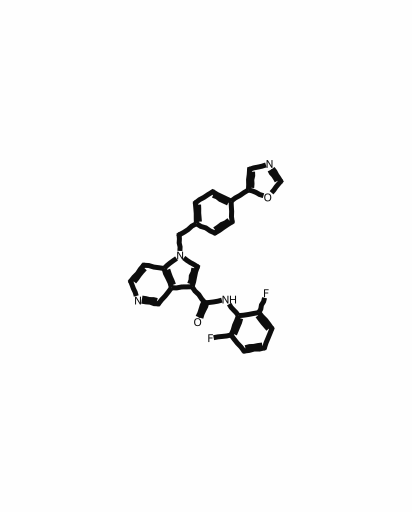 O=C(Nc1c(F)cccc1F)c1cn(Cc2ccc(-c3cnco3)cc2)c2ccncc12